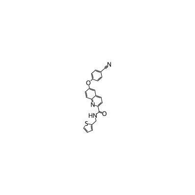 N#Cc1ccc(Oc2ccc3nc(C(=O)NCc4cccs4)ccc3c2)cc1